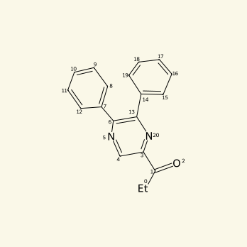 CCC(=O)c1cnc(-c2ccccc2)c(-c2ccccc2)n1